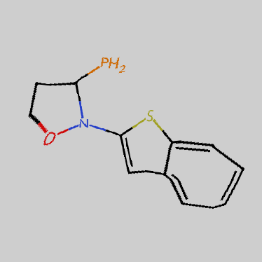 PC1CCON1c1cc2ccccc2s1